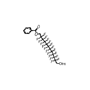 O=C(OCC(F)(F)C(F)(F)C(F)(F)C(F)(F)C(F)(F)C(F)(F)C(F)(F)C(F)(F)C(F)(F)C(F)(F)CO)c1ccccc1